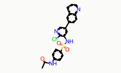 CC(=O)Nc1ccc(S(=O)(=O)Nc2cc(-c3ccc4ncccc4c3)cnc2Cl)cc1